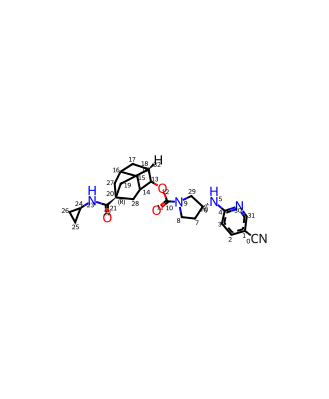 N#Cc1ccc(N[C@@H]2CCN(C(=O)OC3C4CC5C[C@H]3C[C@@](C(=O)NC3CC3)(C5)C4)C2)nc1